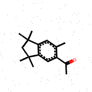 CC(=O)c1cc2c(cc1C)C(C)(C)CC2(C)C